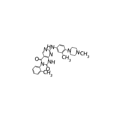 Cc1cc(Nc2ncc3c(=O)n(-c4ccccc4C)c(=O)[nH]c3n2)ccc1N1CCN(C)CC1